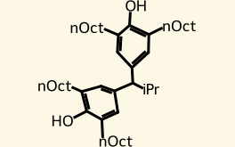 CCCCCCCCc1cc(C(c2cc(CCCCCCCC)c(O)c(CCCCCCCC)c2)C(C)C)cc(CCCCCCCC)c1O